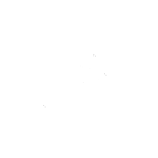 N#Cc1ccc(COC(C(=O)c2ccccn2)c2ccccn2)cc1